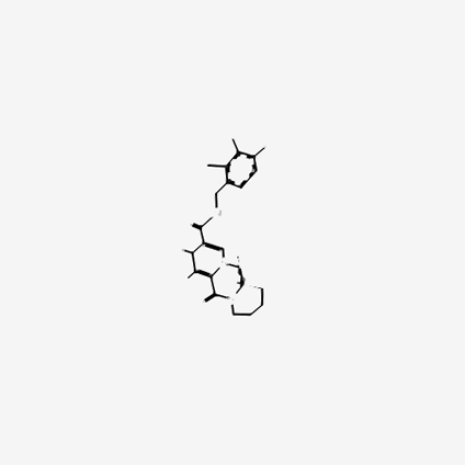 O=C(NCc1ccc(F)c(Cl)c1F)C1=CN2C(=C(O)C1O)C(=O)N1CCCC[C@]13COC[C@H]23